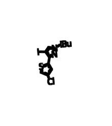 CCC(C)n1cc(I)c(-c2cc(Cl)cs2)n1